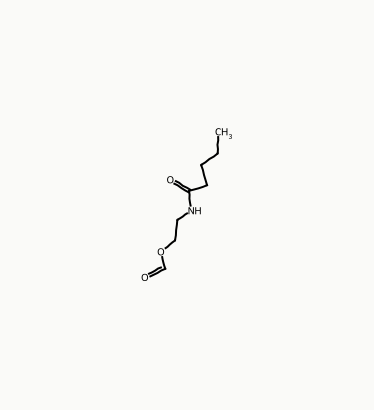 CCCCC(=O)NCCOC=O